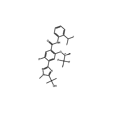 C[C@H](Oc1cc(-c2nc(C(C)(C)O)n(C)n2)c(F)cc1C(=O)Nc1ccccc1C(F)F)C(F)(F)F